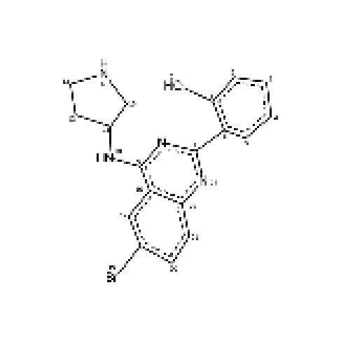 Oc1ccccc1-c1nc(NC2CCNC2)c2cc(Br)ccc2n1